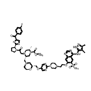 Cc1n[nH]c(Nc2ncnc3cc(OCCN4CCN(c5ncc(OC[C@H]6CN(C[C@H]7CN(C(=O)OC(C)(C)C)[C@@H](C)CN7CC(=O)N7CCC[C@H]7c7nc(C(=O)c8ccc(F)cc8)cs7)CCO6)cn5)CC4)c(S(=O)(=O)C(C)(C)C)cc23)c1C